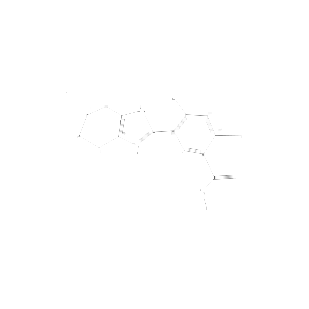 CCCNC(=O)c1cc(-c2nc3c([nH]2)CC(O)CC3)c(C)cc1C